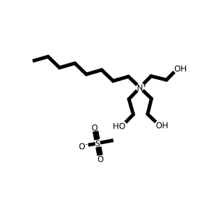 CCCCCCCC[N+](CCO)(CCO)CCO.CS(=O)(=O)[O-]